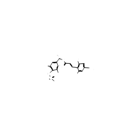 CCc1cc(C(F)(F)F)cc(CC)c1/C=C/C(=O)N[C@H](C)c1cc(F)c(NS(C)(=O)=O)c(F)c1